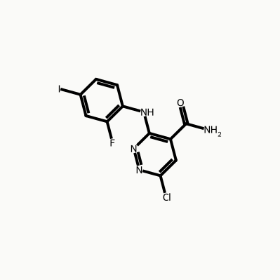 NC(=O)c1cc(Cl)nnc1Nc1ccc(I)cc1F